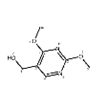 COc1ncc(CO)c(OC)n1